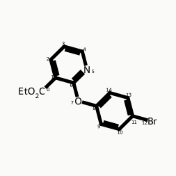 CCOC(=O)c1cccnc1Oc1ccc(Br)cc1